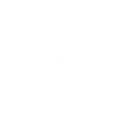 O=c1[nH]c2ccc(/N=C/c3cc(Br)cc4c3OCO4)cc2[nH]1